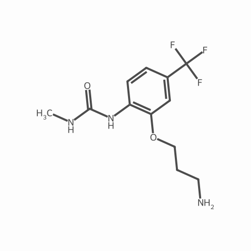 CNC(=O)Nc1ccc(C(F)(F)F)cc1OCCCN